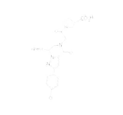 CCCCCC1CN(CC(=O)N2CCC(C(=O)O)C2)C(=O)c2cc(-c3ccc(Cl)cc3)nn21